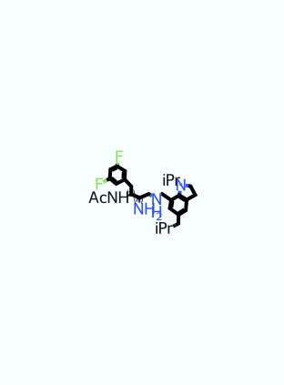 CC(=O)N[C@@H](Cc1cc(F)cc(F)c1)[C@H](N)CNCc1cc(CC(C)C)cc2c1N(C(C)C)CC2